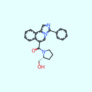 O=C(c1cn2c(-c3ccccc3)ncc2c2ccccc12)N1CCC[C@@H]1CO